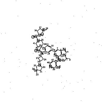 CC(C)n1cnc2cc(-c3ccc4c(c3)N([C@H]3C[C@@H](N5CCC(C)(C)C5)C3)C(=O)C43CCN(C(=O)C4CC[C@@H](C)O4)CC3)nc(Nc3ccncc3F)c21